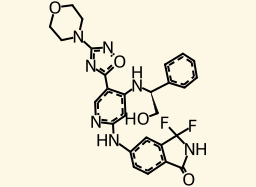 O=C1NC(F)(F)c2cc(Nc3cc(N[C@H](CO)c4ccccc4)c(-c4nc(N5CCOCC5)no4)cn3)ccc21